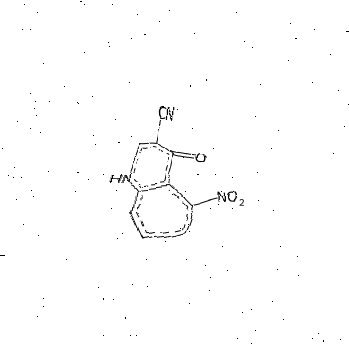 N#Cc1c[nH]c2cccc([N+](=O)[O-])c2c1=O